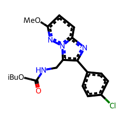 COc1ccc2nc(-c3ccc(Cl)cc3)c(CNC(=O)OCC(C)C)n2n1